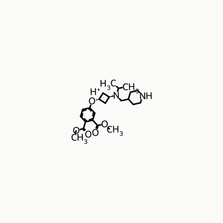 COC(=O)c1ccc(O[C@H]2C[C@H](N(CC3CCNCC3)C(C)C)C2)cc1C(=O)OC.[H+]